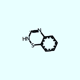 [C]1=Nc2ccccc2SN1